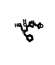 OCCN(Cc1ccccc1)CC(O)c1cnn(C2COC2)c1